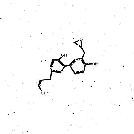 C/C=C\Cc1ccc(O)c(-c2ccc(O)c(CC3CO3)c2)c1